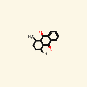 CC1CCC(C)C2C(=O)c3ccccc3C(=O)C12